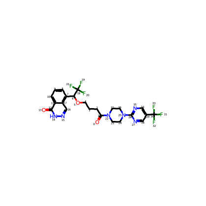 O=C(CCCOC(c1cccc2c(=O)[nH]ncc12)C(F)(F)F)N1CCN(c2ncc(C(F)(F)F)cn2)CC1